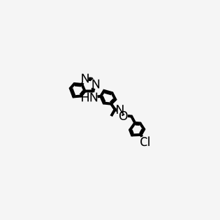 CC(=NOCc1ccc(Cl)cc1)c1cccc(Nc2ncnc3ccccc23)c1